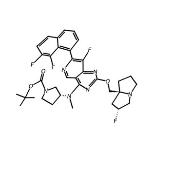 CN(c1nc(OC[C@@]23CCCN2C[C@H](F)C3)nc2c(F)c(-c3cccc4ccc(F)c(F)c34)ncc12)[C@@H]1CCN(C(=O)OC(C)(C)C)C1